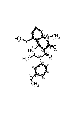 CCc1cccc2c1c(O)c(C(=O)N(CC)c1cccc(OC)c1)c(=O)n2C